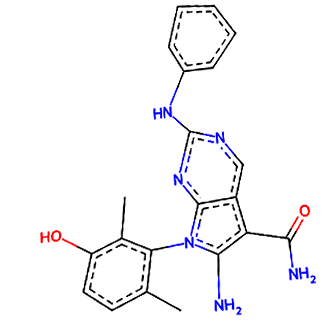 Cc1ccc(O)c(C)c1-n1c(N)c(C(N)=O)c2cnc(Nc3ccccc3)nc21